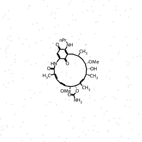 CCCNC1=C2C[C@@H](C)C[C@H](OC)[C@H](O)[C@@H](C)C=C(C)[C@H](OC(N)=O)[C@@H](OC)C=CC=C(C)C(=O)NC(=CC1=O)C2=O